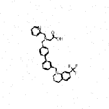 O=C(O)CN(Cc1ccc(-c2cccc(CN3CCCc4ccc(C(F)(F)F)cc43)c2)cc1)Cc1ccccn1